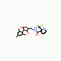 Cc1cc(C)c(C2C(=O)CC(CCNC(=O)c3cccnc3C(C)(F)F)C2=O)c(C)c1